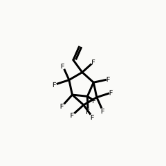 C=CC1(F)C(F)(F)C2(F)C(F)(F)C(F)(F)C1(F)C2(F)F